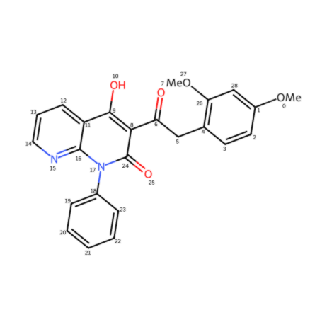 COc1ccc(CC(=O)c2c(O)c3cccnc3n(-c3ccccc3)c2=O)c(OC)c1